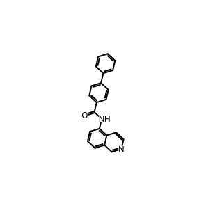 O=C(Nc1cccc2cnccc12)c1ccc(-c2ccccc2)cc1